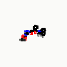 CC(NC(=O)c1ccccc1CCC(=O)NC1CN(C(=O)OC(C)(C)C)C1)c1cccc2ccccc12